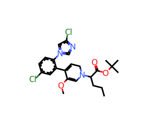 CCCC(C(=O)OC(C)(C)C)N1C=C(OC)C(c2cc(Cl)ccc2-n2cnc(Cl)c2)=CC1